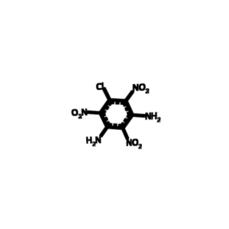 Nc1c([N+](=O)[O-])c(N)c([N+](=O)[O-])c(Cl)c1[N+](=O)[O-]